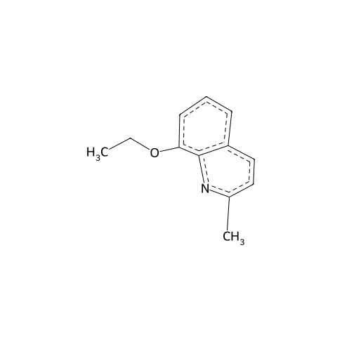 CCOc1cccc2ccc(C)nc12